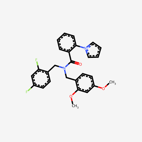 COc1ccc(CN(Cc2ccc(F)cc2F)C(=O)c2ccccc2-n2cccc2)c(OC)c1